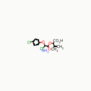 C=C(C)C(OC(=O)C(Cl)Oc1ccc(Cl)cc1)C(=O)O.N